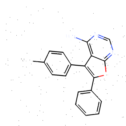 COc1ccc(-c2c(-c3ccccc3)oc3ncnc(N)c23)cc1